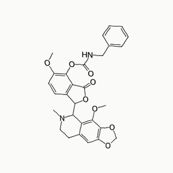 COc1ccc2c(c1OC(=O)NCc1ccccc1)C(=O)OC2C1c2c(cc3c(c2OC)OCO3)CCN1C